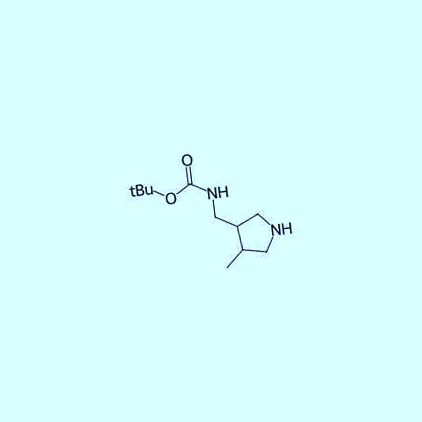 CC1CNCC1CNC(=O)OC(C)(C)C